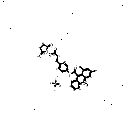 Cc1cc(C)c2c(C(=O)Oc3ccc(CCC(=O)ON4C(=O)CCC4=O)cc3)c3ccccc3[n+](C)c2c1.O=S(=O)([O-])F